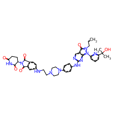 C=CCn1c(=O)c2cnc(Nc3ccc(N4CCN(CCNc5ccc6c(c5)C(=O)N(C5CCC(=O)NC5=O)C6=O)CC4)cc3)nc2n1-c1cccc(C(C)(C)O)n1